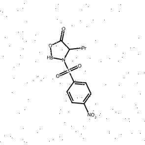 CC(C)C1C(=O)OBN1S(=O)(=O)c1ccc([N+](=O)[O-])cc1